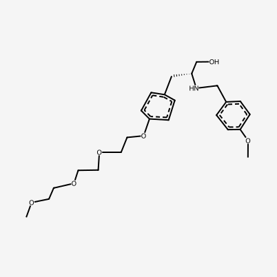 COCCOCCOCCOc1ccc(C[C@H](CO)NCc2ccc(OC)cc2)cc1